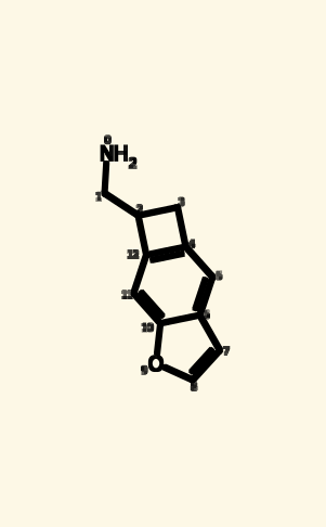 NCC1Cc2cc3ccoc3cc21